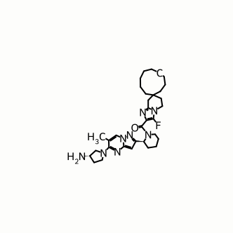 Cc1cn2nc([C@@H]3CCCCN3C(=O)c3nc4n(c3F)CCC3(CCCCCCCCC3)C4)cc2nc1N1CC[C@H](N)C1